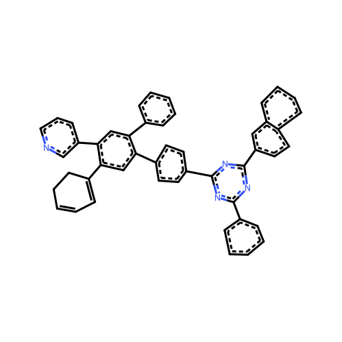 C1=CCCC(c2cc(-c3ccc(-c4nc(-c5ccccc5)nc(-c5ccc6ccccc6c5)n4)cc3)c(-c3ccccc3)cc2-c2cccnc2)=C1